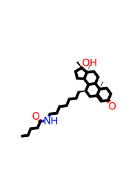 CCCCC(=O)NCCCCCCC[C@@H]1CC2=CC(=O)CC[C@]2(C)C2CC[C@@]3(C)C(CC[C@]3(C)O)C21